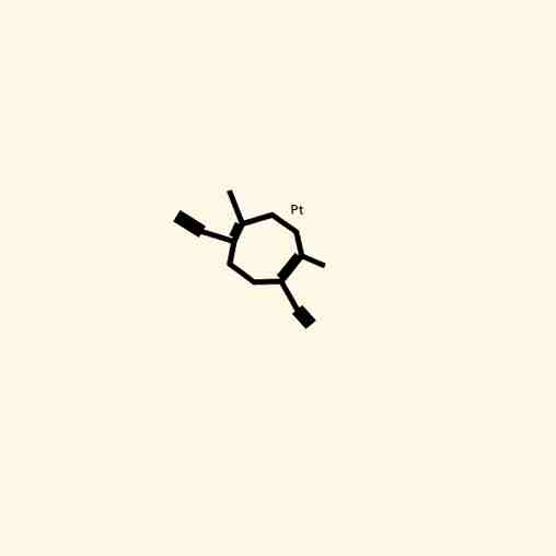 C#CC1=C(C)CCC(C)=C(C#C)CC1.[Pt]